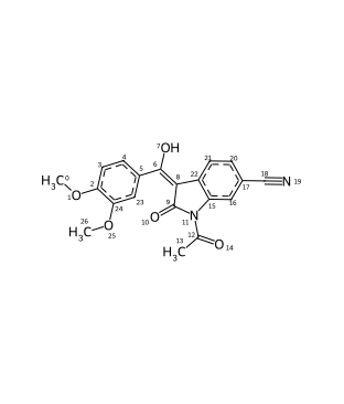 COc1ccc(/C(O)=C2\C(=O)N(C(C)=O)c3cc(C#N)ccc32)cc1OC